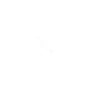 Cl[B-](Cl)(Cl)Cl